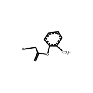 C=C(CBr)Oc1ccccc1C(=O)O